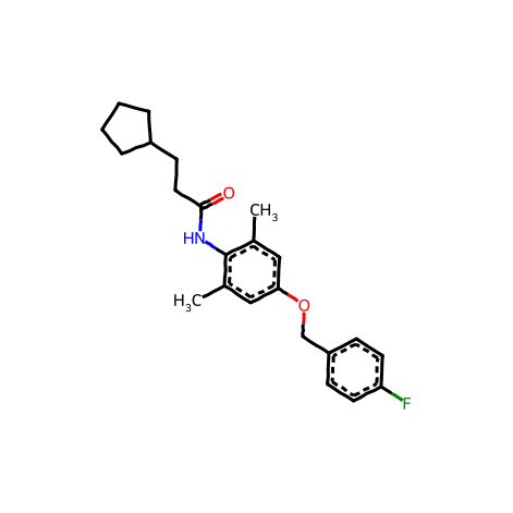 Cc1cc(OCc2ccc(F)cc2)cc(C)c1NC(=O)CCC1CCCC1